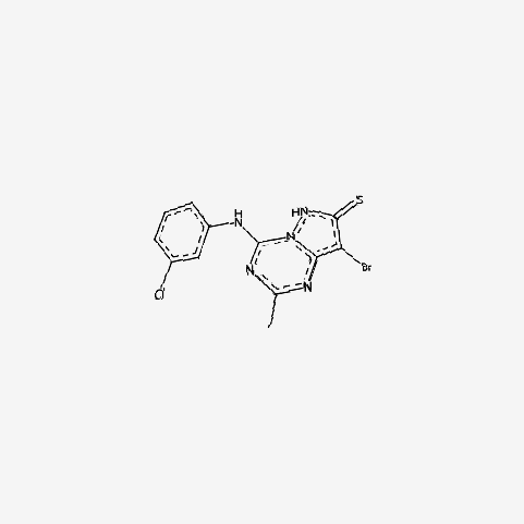 Cc1nc(Nc2cccc(Cl)c2)n2[nH]c(=S)c(Br)c2n1